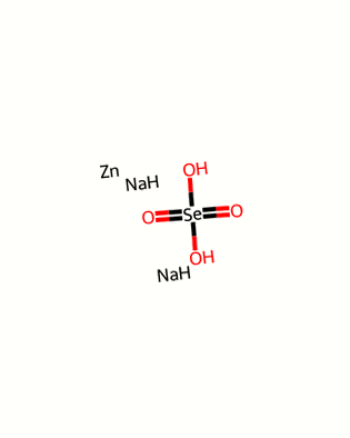 O=[Se](=O)(O)O.[NaH].[NaH].[Zn]